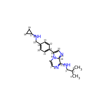 CC(C)CNc1nccn2c(-c3ccc(CNC4CC4)cc3)cnc12